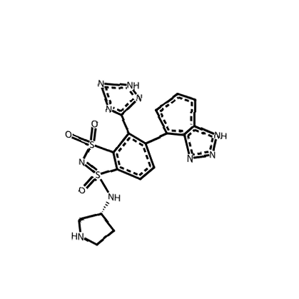 O=S1(=O)N=S(=O)(N[C@@H]2CCNC2)c2ccc(-c3cccc4[nH]nnc34)c(-c3nn[nH]n3)c21